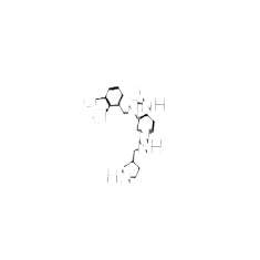 O=c1[nH]c2c(n1Cc1cccc(Cl)c1Cl)CN(NCC1CCNC1)C=C2